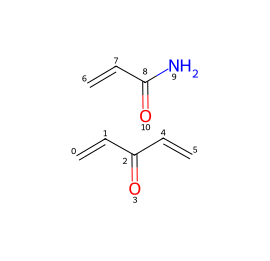 C=CC(=O)C=C.C=CC(N)=O